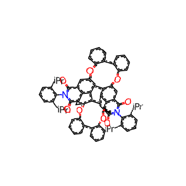 CC(C)c1cccc(C(C)C)c1-n1c(=O)c2cc3oc4ccccc4c4ccccc4oc4cc5c(=O)n(-c6c(C(C)C)cccc6C(C)C)c(=O)c6cc7oc8ccccc8c8ccccc8oc8cc(c1=O)c2c1c3c4c(c56)c7c81